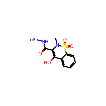 [CH2]CCNC(=O)C1=C(O)c2ccccc2S(=O)(=O)N1C